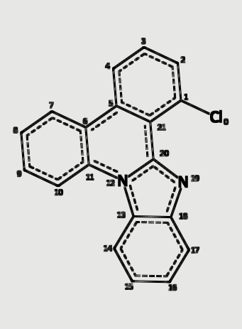 Clc1cccc2c3ccccc3n3c4ccccc4nc3c12